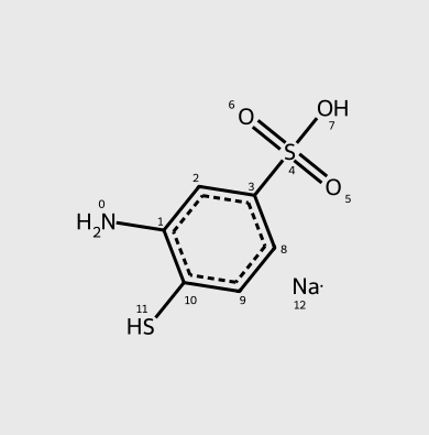 Nc1cc(S(=O)(=O)O)ccc1S.[Na]